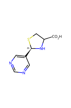 O=C(O)C1CS[C@H](c2cncnc2)N1